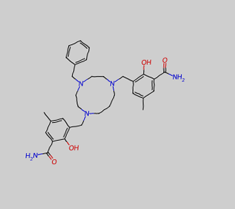 Cc1cc(CN2CCCN(Cc3cc(C)cc(C(N)=O)c3O)CCN(Cc3ccccc3)CC2)c(O)c(C(N)=O)c1